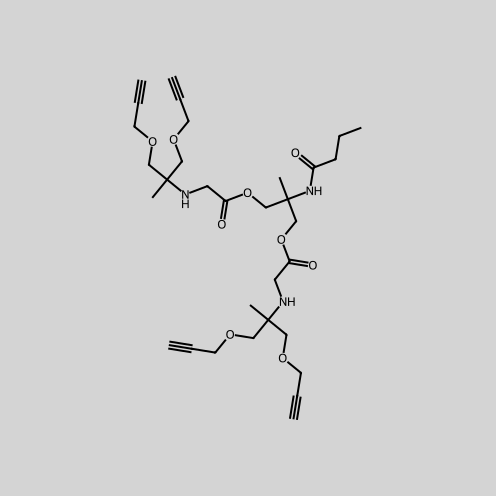 C#CCOCC(C)(COCC#C)NCC(=O)OCC(C)(COC(=O)CNC(C)(COCC#C)COCC#C)NC(=O)CCC